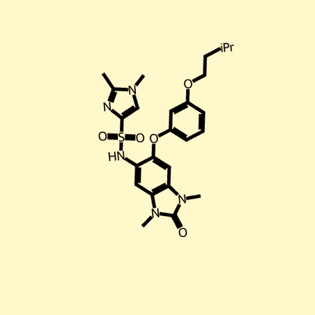 Cc1nc(S(=O)(=O)Nc2cc3c(cc2Oc2cccc(OCCC(C)C)c2)n(C)c(=O)n3C)cn1C